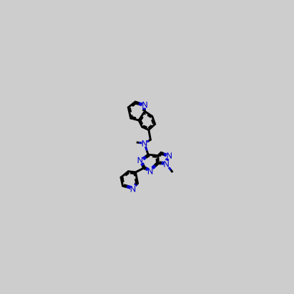 CN(Cc1ccc2ncccc2c1)c1nc(-c2cccnc2)nc2c1cnn2C